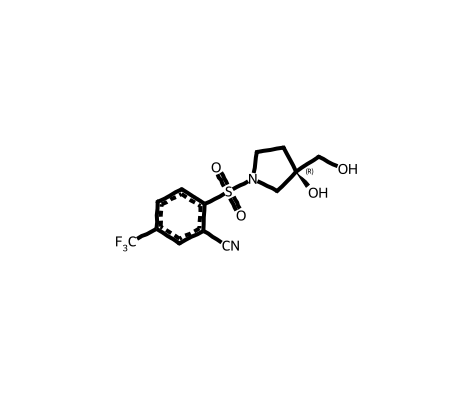 N#Cc1cc(C(F)(F)F)ccc1S(=O)(=O)N1CC[C@](O)(CO)C1